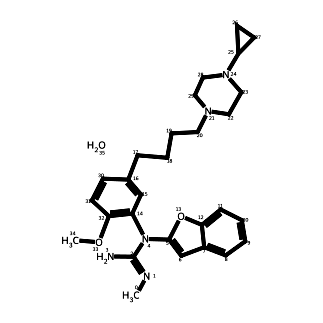 CN=C(N)N(c1cc2ccccc2o1)c1cc(CCCCN2CCN(C3CC3)CC2)ccc1OC.O